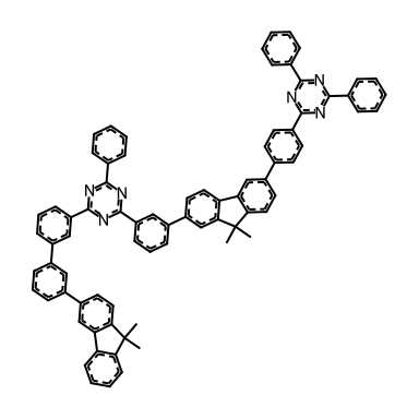 CC1(C)c2ccccc2-c2cc(-c3cccc(-c4cccc(-c5nc(-c6ccccc6)nc(-c6cccc(-c7ccc8c(c7)C(C)(C)c7ccc(-c9ccc(-c%10nc(-c%11ccccc%11)nc(-c%11ccccc%11)n%10)cc9)cc7-8)c6)n5)c4)c3)ccc21